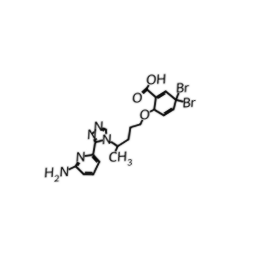 CC(CCCOC1C=CC(Br)(Br)C=C1C(=O)O)n1cnnc1-c1cccc(N)n1